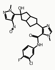 Cn1cnc(C2CC3CC(O)(c4c(N=O)cnn4C)CC3C2)c1C(=O)Nc1ccc(F)c(Cl)c1